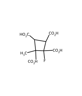 CC1(C(=O)O)C(C(=O)O)C(C(=O)O)C1(F)C(=O)O